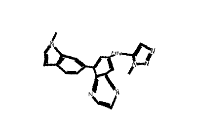 Cn1nncc1Nc1cc(-c2ccc3ccn(C)c3c2)c2nccnc2c1